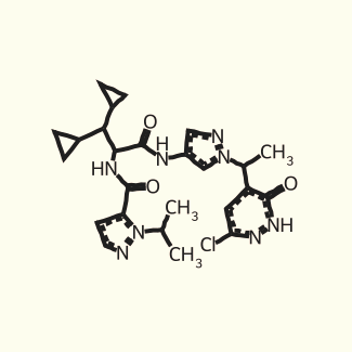 CC(c1cc(Cl)n[nH]c1=O)n1cc(NC(=O)C(NC(=O)c2ccnn2C(C)C)C(C2CC2)C2CC2)cn1